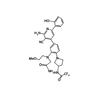 COCCN(CC(N)=O)c1cc(-c2cc(-c3ccccc3O)nc(N)c2C#N)ccc1N1CCC(NC(=O)C(F)(F)F)C1